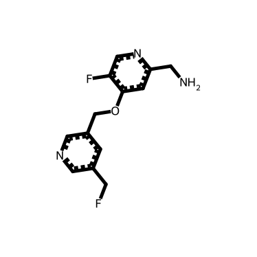 NCc1cc(OCc2cncc(CF)c2)c(F)cn1